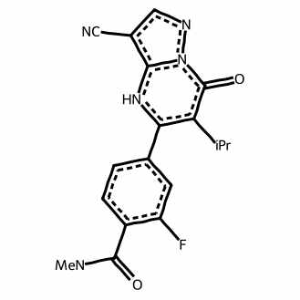 CNC(=O)c1ccc(-c2[nH]c3c(C#N)cnn3c(=O)c2C(C)C)cc1F